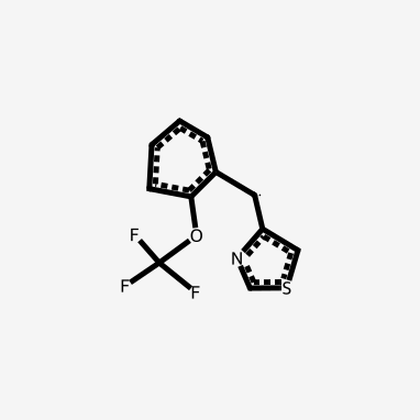 FC(F)(F)Oc1ccccc1[CH]c1cscn1